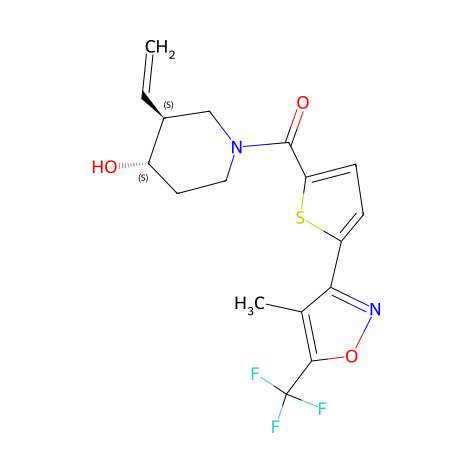 C=C[C@H]1CN(C(=O)c2ccc(-c3noc(C(F)(F)F)c3C)s2)CC[C@@H]1O